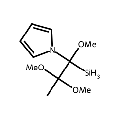 COC(C)(OC)C([SiH3])(OC)n1cccc1